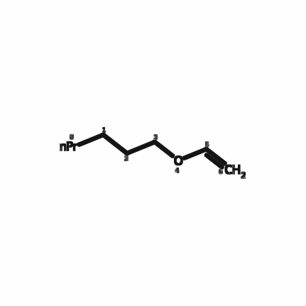 [CH2]CCCCCOC=C